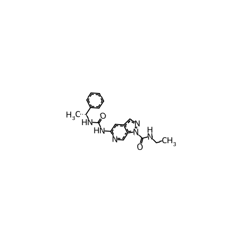 CCNC(=O)n1ncc2cc(NC(=O)N[C@H](C)c3ccccc3)ncc21